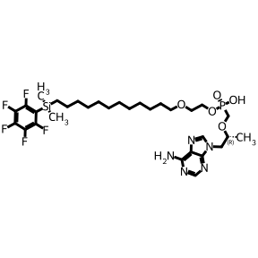 C[C@H](Cn1cnc2c(N)ncnc21)OCP(=O)(O)OCCOCCCCCCCCCCCC[Si](C)(C)c1c(F)c(F)c(F)c(F)c1F